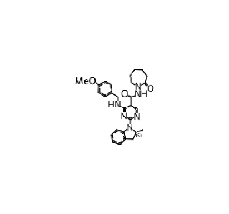 COc1ccc(CNc2nc(N3c4ccccc4C[C@@H]3C)ncc2C(=O)NN2CCCCCC2=O)cc1